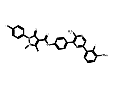 COc1cccc(-c2cnc(N)c(-c3ccc(NC(=O)c4c(C)n(C)n(-c5ccc(Cl)cc5)c4=O)cc3)n2)c1F